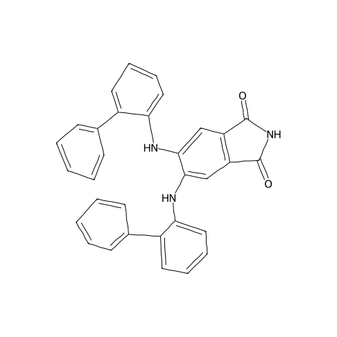 O=C1NC(=O)c2cc(Nc3ccccc3-c3ccccc3)c(Nc3ccccc3-c3ccccc3)cc21